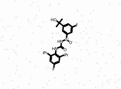 CC(C)c1cc(F)cc(C(C)C)c1NC(=O)N[S+]([O-])c1cc(F)cc(C(C)(C)O)c1